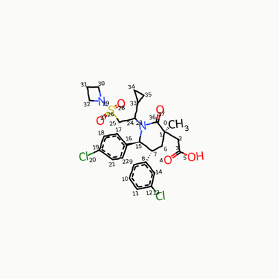 C[C@]1(CC(=O)O)C[C@H](c2cccc(Cl)c2)[C@@H](c2ccc(Cl)cc2)N(C(CS(=O)(=O)N2CCC2)C2CC2)C1=O